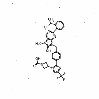 CC(C)c1ccccc1-c1ncc2c(n1)n(Cc1ccc(-c3nc(C(F)(F)F)cn3C3CN(C(=O)O)C3)cc1)c(=N)n2C